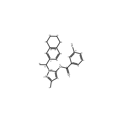 Cc1cc(OC(=O)c2cccc(F)c2)n(C(C)c2ccc3c(c2)CCCC3)n1